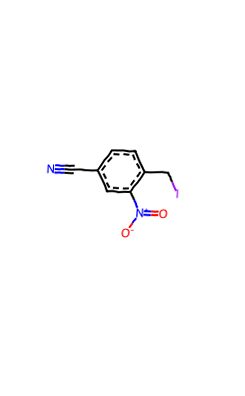 N#Cc1ccc(CI)c([N+](=O)[O-])c1